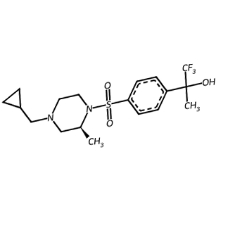 C[C@H]1CN(CC2CC2)CCN1S(=O)(=O)c1ccc(C(C)(O)C(F)(F)F)cc1